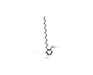 CC(C)CCCCCCCCCCCCCc1c(CC(C)C)ccc(C(=O)O)c1C(=O)O